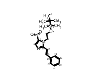 CC(C)(C)[Si](C)(C)OCCn1c([N+](=O)[O-])cnc1C=Cc1ccccc1